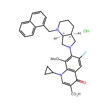 COc1c(N2C[C@@H]3CCCN(Cc4cccc5ccccc45)[C@@H]3C2)c(F)cc2c(=O)c(C(=O)O)cn(C3CC3)c12.Cl